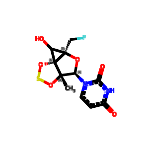 C[C@@]12OSO[C@@]13C(O)[C@@]3(CF)O[C@H]2n1ccc(=O)[nH]c1=O